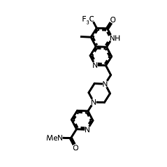 CNC(=O)c1ccc(N2CCN(Cc3cc4[nH]c(=O)c(C(F)(F)F)c(C)c4cn3)CC2)cn1